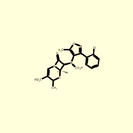 Cc1onc(-c2ccccc2Cl)c1N(C(=O)O)C1C(=O)N2C=C(C(=O)O)C(C)S[C@H]12